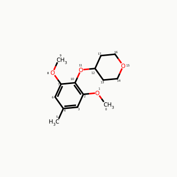 COc1cc(C)cc(OC)c1OC1CCOCC1